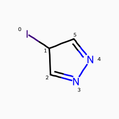 IC1C=NN=C1